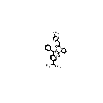 Cc1coc(CC(=O)N2CCC[C@H]2C(=O)N[C@@H](c2ccccc2)c2ccc(C(C)C)cn2)n1